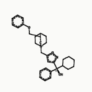 O[C@@](c1ccccc1)(c1cc(C[N+]23CCC(CC2)C(COc2ccccc2)C3)on1)C1CCCCC1